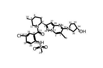 Cc1cn2nc([C@@H]3CC[C@H](C)CN3C(=O)c3cc(Cl)ccc3NS(C)(=O)=O)cc2nc1N1CC[C@@H](O)C1